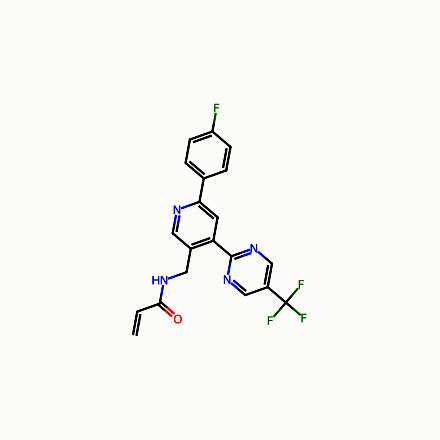 C=CC(=O)NCc1cnc(-c2ccc(F)cc2)cc1-c1ncc(C(F)(F)F)cn1